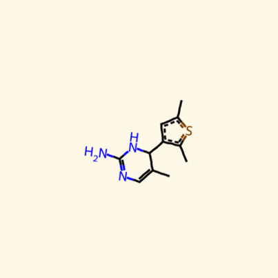 CC1=CN=C(N)NC1c1cc(C)sc1C